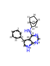 c1ccc(-c2c[nH]c3ncnc(NC4CC5CCC4C5)c23)cc1